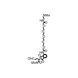 CNCCNC(=O)COCCOCCOCCOCCOCC(=O)Nc1cccc2c1C(=O)N(C(CCC=O)C(=O)NC)C2=O